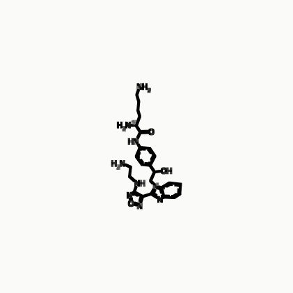 NCCCC[C@H](N)C(=O)Nc1ccc(C(O)Cn2c(-c3nonc3NCCN)nc3ccccc32)cc1